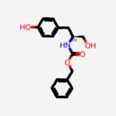 O=C(N[C@H](CO)Cc1ccc(O)cc1)OCc1ccccc1